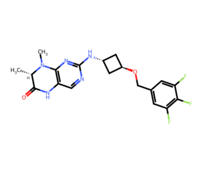 C[C@H]1C(=O)Nc2cnc(N[C@H]3C[C@H](OCc4cc(F)c(F)c(F)c4)C3)nc2N1C